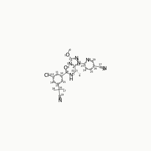 COc1nc([C@H](C)NC(=O)c2cc(Cl)cc(C(C)(C)C#N)c2)n(-c2ccc(C#N)cn2)n1